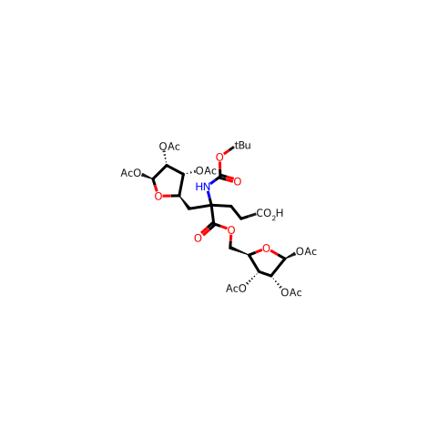 CC(=O)O[C@@H]1O[C@H](COC(=O)C(CCC(=O)O)(C[C@H]2O[C@@H](OC(C)=O)[C@H](OC(C)=O)[C@@H]2OC(C)=O)NC(=O)OC(C)(C)C)[C@@H](OC(C)=O)[C@H]1OC(C)=O